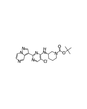 CC(C)(C)OC(=O)N1CCC[C@@H](Nc2nc(-c3cnn4ccncc34)ncc2Cl)C1